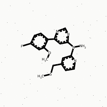 COc1cc(F)ccc1-c1cc(N(N)c2cc(CSC)ccn2)ncn1